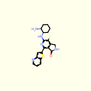 N[C@H]1CCCC[C@H]1Nc1nc(-c2cc3ncccc3s2)c2c(c1F)CNC2=O